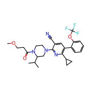 COCCC(=O)N1CCN(c2nc(C3CC3)c(-c3ccccc3OC(F)(F)F)cc2C#N)CC1C(C)C